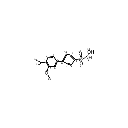 COc1ccc(-c2ccc(S(=O)(=O)NO)cc2)cc1OC